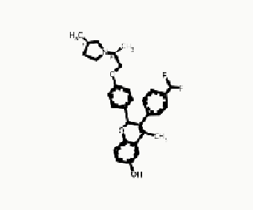 CC1=C(c2ccc(C(F)F)cc2)C(c2ccc(OC[C@H](C)N3CC[C@@H](C)C3)cc2)Oc2ccc(O)cc21